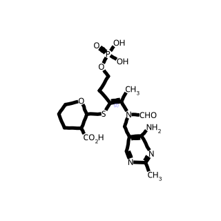 C/C(=C(\CCOP(=O)(O)O)SC1OCCCC1C(=O)O)N(C=O)Cc1cnc(C)nc1N